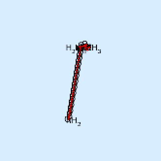 COc1ccc(I)cc1N1CCC(=O)N(CNC(=O)[C@H](COCCOCCOCCOCCOCCOCCOCCOCCOCCOCCOCCOCCOCCOCCOCCOCCOCCOCCOCCOCCOCCOCCOCCOCCC(N)=O)CC(N)=O)C1=O